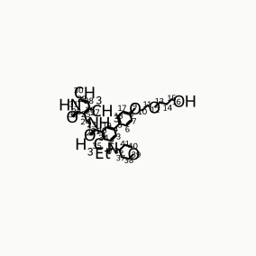 CCN(c1cc(-c2ccc(OCCOCCCO)cc2)cc(C(=O)NCc2c(C)cc(C)[nH]c2=O)c1C)C1CCOCC1